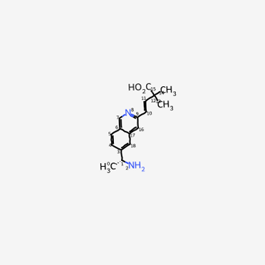 C[C@@H](N)c1ccc2cnc(/C=C/C(C)(C)C(=O)O)cc2c1